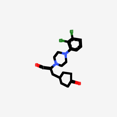 O=C=C(CC1CCC(=O)CC1)N1CCN(c2cccc(Cl)c2Cl)CC1